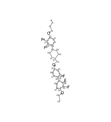 CCCCOc1ccc(C2CCC(COc3ccc(-c4ccc(OCC)c(F)c4F)c(F)c3)CC2)c(F)c1F